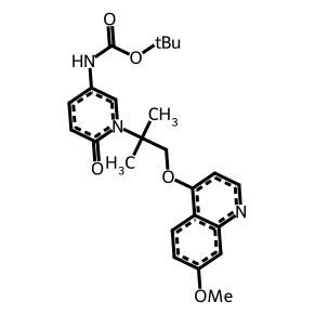 COc1ccc2c(OCC(C)(C)n3cc(NC(=O)OC(C)(C)C)ccc3=O)ccnc2c1